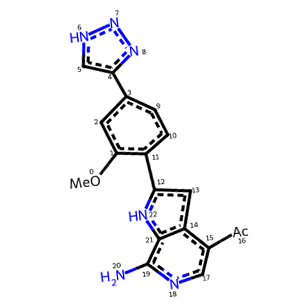 COc1cc(-c2c[nH]nn2)ccc1-c1cc2c(C(C)=O)cnc(N)c2[nH]1